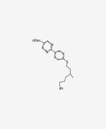 CCCCCCCCCCc1cnc(-c2ccc(SCCC(C)CCCC(C)C)cc2)nc1